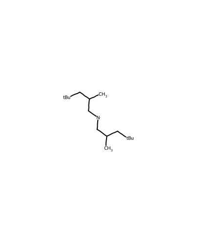 CC(C[N]CC(C)CC(C)(C)C)CC(C)(C)C